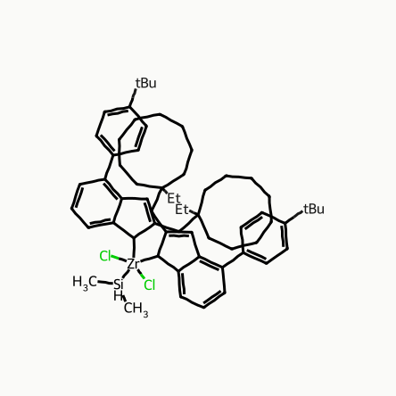 CCC1(CC2=Cc3c(-c4ccc(C(C)(C)C)cc4)cccc3[CH]2[Zr]([Cl])([Cl])([CH]2C(CC3(CC)CCCCCCCC3)=Cc3c(-c4ccc(C(C)(C)C)cc4)cccc32)[SiH](C)C)CCCCCCCC1